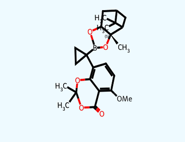 COc1ccc(C2(B3OC4CC5CC(C5(C)C)[C@]4(C)O3)CC2)c2c1C(=O)OC(C)(C)O2